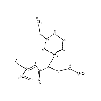 Cc1cc(C(COC=O)N2CCOC(CO)C2)ncn1